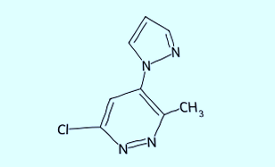 Cc1nnc(Cl)cc1-n1cccn1